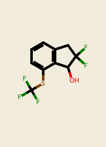 OC1c2c(cccc2SC(F)(F)F)CC1(F)F